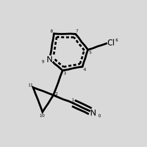 N#CC1(c2cc(Cl)ccn2)CC1